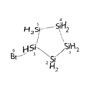 Br[SiH]1[SiH2][SiH2][SiH2][SiH2]1